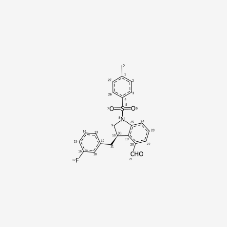 Cc1ccc(S(=O)(=O)N2C[C@H](Cc3cccc(F)c3)c3c(C=O)cccc32)cc1